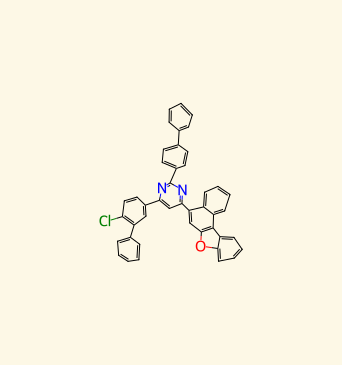 Clc1ccc(-c2cc(-c3cc4oc5ccccc5c4c4ccccc34)nc(-c3ccc(-c4ccccc4)cc3)n2)cc1-c1ccccc1